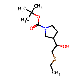 CCSC[C@H](O)C1CCN(C(=O)OC(C)(C)C)C1